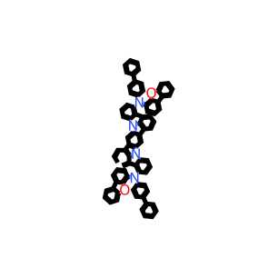 C=c1c2c(N(c3ccc(-c4ccccc4)cc3)c3cccc4c3oc3ccccc34)cccc2n2c1c(/C=C\C)c1cc3c(cc12)c1cccc2c4c(N(c5ccc(-c6ccccc6)cc5)c5cccc6c5oc5ccccc56)cccc4n3c12